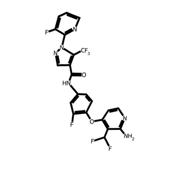 Nc1nccc(Oc2ccc(NC(=O)c3cnn(-c4ncccc4F)c3C(F)(F)F)cc2F)c1C(F)F